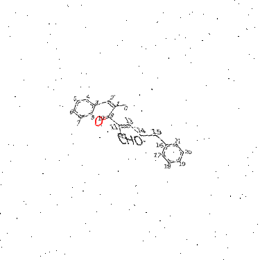 CC(=Cc1ccccc1)C(=O)C([C]=O)=CCCc1ccccc1